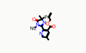 C=CCOC(=O)c1cc(C)cnc1C1=NC(C)(C(C)C)C(=O)N1C#N